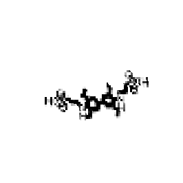 CCc1cc(-c2cc(CC)c(NCCCS(=O)(=O)O)c(CC)c2)cc(CC)c1NCCCS(=O)(=O)O